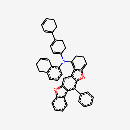 C1=CCCC(C2=CC=C(N(C3=c4c(oc5c(-c6ccccc6)c6c(cc45)oc4ccccc46)=CCC3)c3cccc4c3C=CCC4)CC2)=C1